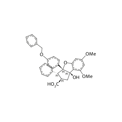 COc1cc(OC)c2c(c1)O[C@@]1(c3ccc(OCc4ccccc4)cc3)[C@@H](c3ccccc3)[C@H](C(=O)O)C[C@@]21O